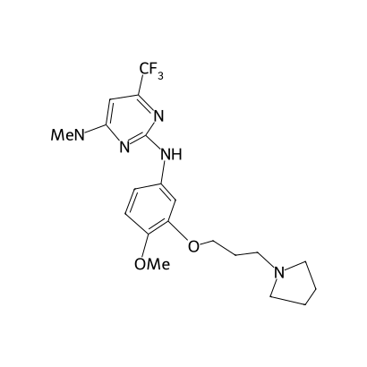 CNc1cc(C(F)(F)F)nc(Nc2ccc(OC)c(OCCCN3CCCC3)c2)n1